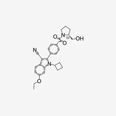 CCOc1ccc2c(C#N)c(-c3ccc(S(=O)(=O)N4CCC[C@H]4CO)cc3)n(C3CCC3)c2c1